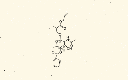 C=CCOC(=O)C(C)CO[C@@H]1OC2COC(c3ccccc3)O[C@H]2[C@H](O)C1NC(C)=O